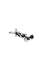 O=C(O)CC(O)(C(=O)N1CCN(c2ccc(NC(=O)c3oc(-c4ccccc4)nc3C(F)(F)F)cn2)CC1)C(F)(F)F